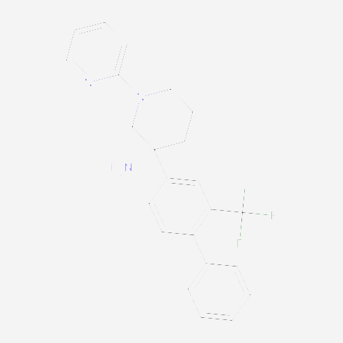 N[C@@]1(c2ccc(-c3ccccc3)c(C(F)(F)F)c2)CCCN(c2ccccn2)C1